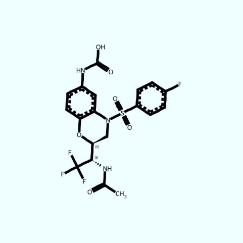 CC(=O)N[C@@H]([C@@H]1CN(S(=O)(=O)c2ccc(F)cc2)c2cc(NC(=O)O)ccc2O1)C(F)(F)F